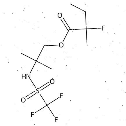 CCC(C)(F)C(=O)OCC(C)(C)NS(=O)(=O)C(F)(F)F